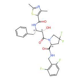 Cc1nc(C)c(C(=O)N[C@@H](Cc2ccccc2)[C@H](O)C(=O)N2CC(F)(F)C[C@H]2C(=O)NCc2c(F)cccc2F)s1